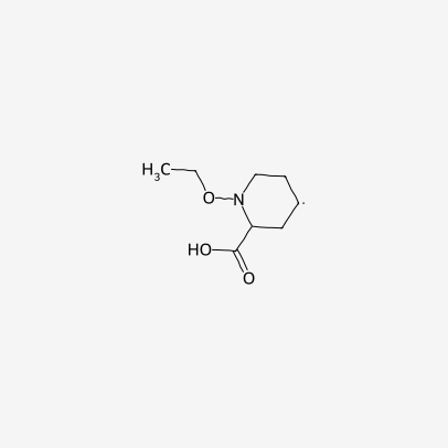 CCON1CC[CH]CC1C(=O)O